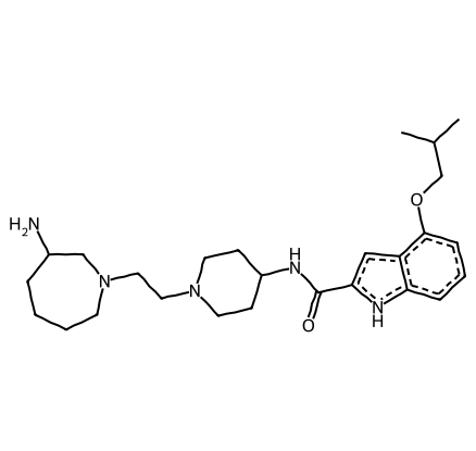 CC(C)COc1cccc2[nH]c(C(=O)NC3CCN(CCN4CCCCC(N)C4)CC3)cc12